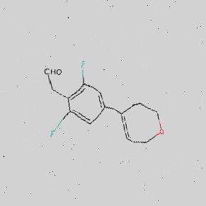 O=CCc1c(F)cc(C2=CCOCC2)cc1F